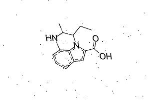 CCC1C(C)Nc2cccc3cc(C(=O)O)n1c23